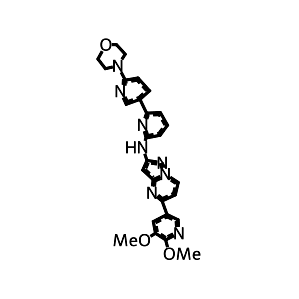 COc1cc(-c2ccn3nc(Nc4cccc(-c5ccc(N6CCOCC6)nc5)n4)cc3n2)cnc1OC